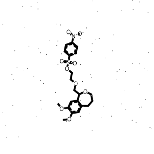 COc1cc2c(cc1OC)C(COCCOS(=O)(=O)c1ccc([N+](=O)[O-])cc1)OCCC2